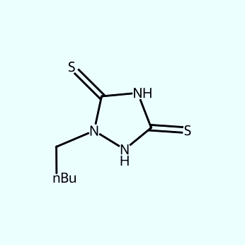 CCCCCn1[nH]c(=S)[nH]c1=S